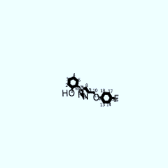 Oc1ccccc1-n1cc(COc2ccc(F)cc2)nn1